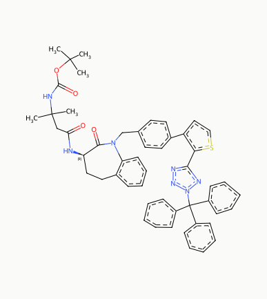 CC(C)(CC(=O)N[C@@H]1CCc2ccccc2N(Cc2ccc(-c3ccsc3-c3nnn(C(c4ccccc4)(c4ccccc4)c4ccccc4)n3)cc2)C1=O)NC(=O)OC(C)(C)C